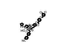 Cc1nc(NC2CCCC2)ccc1S(=O)(=O)N1Cc2cc3c(cc2CC1C(=O)NC(Cc1ccc(-c2ccc(C#N)cc2)cc1)C(=O)O)OCC(c1ccc(OCc2ccc(Cl)c(Cl)c2)cc1)O3